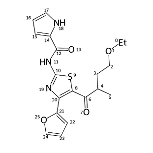 CCOCCC(C)C(=O)c1sc(NC(=O)c2ccc[nH]2)nc1-c1ccco1